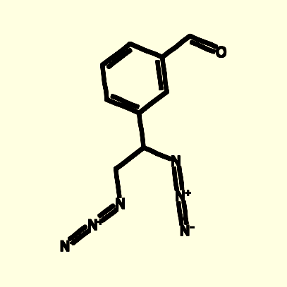 [N-]=[N+]=NCC(N=[N+]=[N-])c1cccc(C=O)c1